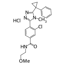 COCCNC(=O)c1ccc(-c2nnc(C3(c4ccccc4)CC3)n2C)c(Cl)c1.Cl